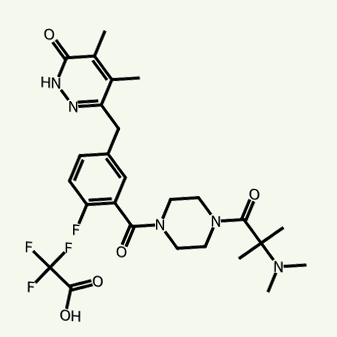 Cc1c(Cc2ccc(F)c(C(=O)N3CCN(C(=O)C(C)(C)N(C)C)CC3)c2)n[nH]c(=O)c1C.O=C(O)C(F)(F)F